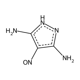 Nc1n[nH]c(N)c1N=O